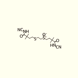 CC(C)(CCSCC[S+]([O-])CCC(C)(C)C(=O)NC#N)C(=O)NC#N